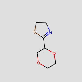 C1CSC(C2COCCO2)=N1